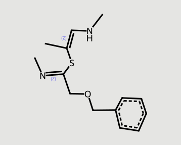 C/N=C(/COCc1ccccc1)S/C(C)=C\NC